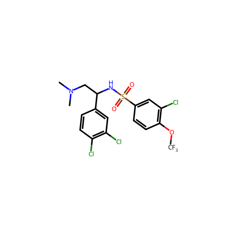 CN(C)CC(NS(=O)(=O)c1ccc(OC(F)(F)F)c(Cl)c1)c1ccc(Cl)c(Cl)c1